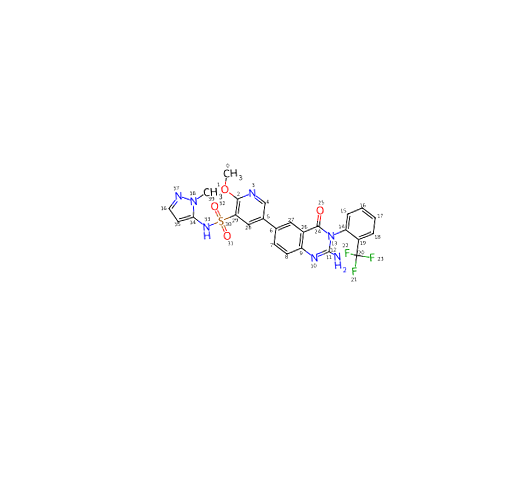 COc1ncc(-c2ccc3nc(N)n(-c4ccccc4C(F)(F)F)c(=O)c3c2)cc1S(=O)(=O)Nc1ccnn1C